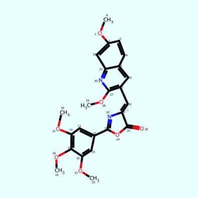 COc1ccc2cc(/C=C3\N=C(c4cc(OC)c(OC)c(OC)c4)OC3=O)c(OC)nc2c1